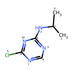 CC(C)Nc1ncnc(Cl)n1